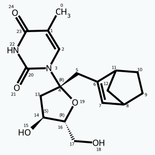 Cc1cn([C@@]2(CC3=CC4CCC3C4)C[C@H](O)[C@@H](CO)O2)c(=O)[nH]c1=O